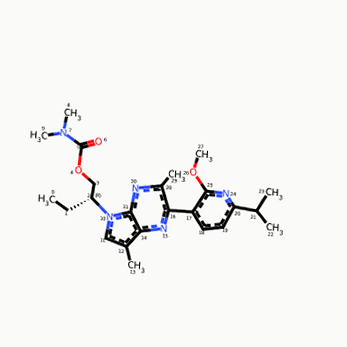 CC[C@H](COC(=O)N(C)C)n1cc(C)c2nc(-c3ccc(C(C)C)nc3OC)c(C)nc21